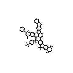 C=C1C=C(c2ccccc2)Oc2cc3c(cc21)Bc1c(-c2cc4c(cc2Nc2ccc(C(C)(C)C)cc2)C(C)(C)c2cc5c(cc2-4)C(C)(C)CCC5(C)C)ccc2c4cc5sc6ccccc6c5cc4n-3c12